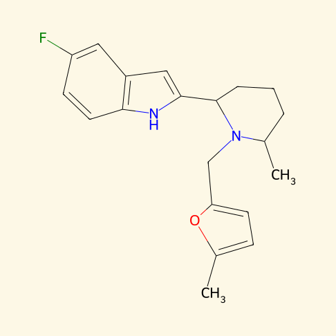 Cc1ccc(CN2C(C)CCCC2c2cc3cc(F)ccc3[nH]2)o1